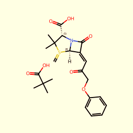 C=S1[C@@H]2C(=CC(=O)COc3ccccc3)C(=O)N2[C@@H](C(=O)O)C1(C)C.CC(C)(C)C(=O)O